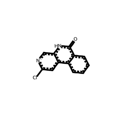 O=c1[nH]c2cnc(Cl)cc2c2ccccc12